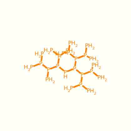 PP(P)P(P)P(PP(P(P(P)P)P(P)P)P(P(P)P)P(P)P)P(P)P